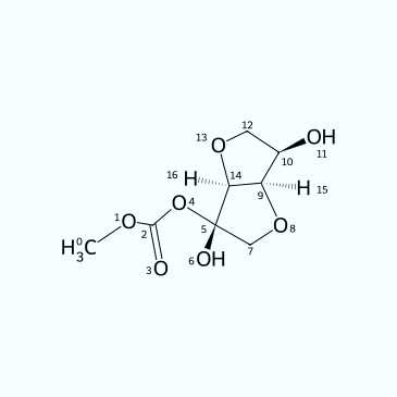 COC(=O)O[C@@]1(O)CO[C@@H]2[C@H](O)CO[C@@H]21